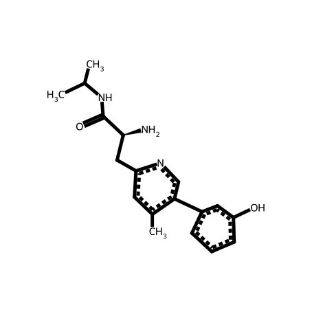 Cc1cc(C[C@H](N)C(=O)NC(C)C)ncc1-c1cccc(O)c1